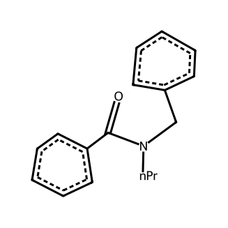 CCCN(Cc1ccccc1)C(=O)c1ccccc1